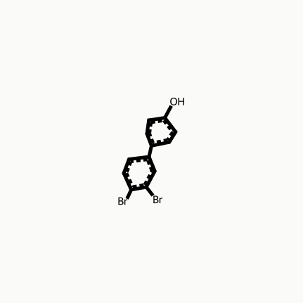 Oc1ccc(-c2ccc(Br)c(Br)c2)cc1